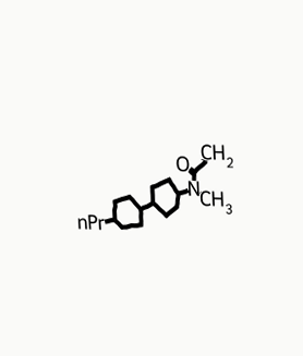 C=CC(=O)N(C)C1CCC(C2CCC(CCC)CC2)CC1